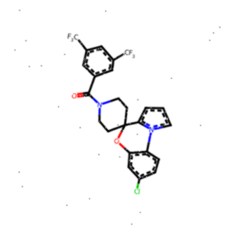 O=C(c1cc(C(F)(F)F)cc(C(F)(F)F)c1)N1CCC2(CC1)Oc1cc(Cl)ccc1-n1cccc12